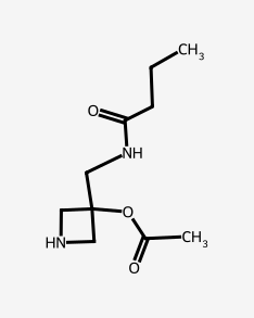 CCCC(=O)NCC1(OC(C)=O)CNC1